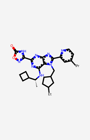 CCC1CCC(Cn2c(-c3cc(C(C)C)ccn3)nc3nc(-c4noc(=O)[nH]4)nc(N[C@H](C)C4CCC4)c32)C1